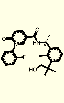 Cc1c([C@@H](C)NC(=O)c2ccc(=O)n(-c3ccccc3F)c2)cccc1C(C)(F)CO